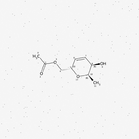 CC(=O)OC[C@@H]1C=C[C@@H](O)[C@@H](C)O1